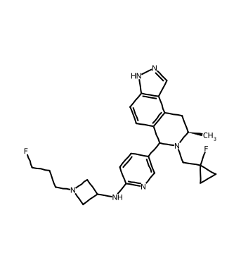 C[C@@H]1Cc2c(ccc3[nH]ncc23)C(c2ccc(NC3CN(CCCF)C3)nc2)N1CC1(F)CC1